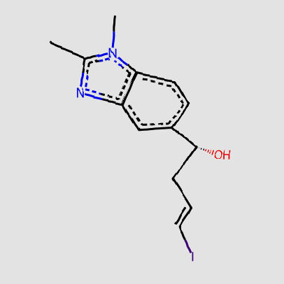 Cc1nc2cc([C@H](O)C/C=C/I)ccc2n1C